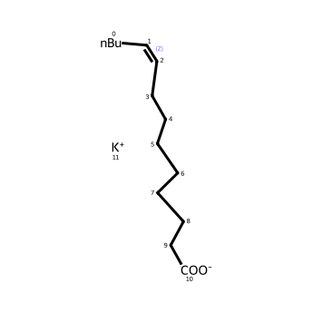 CCCC/C=C\CCCCCCCC(=O)[O-].[K+]